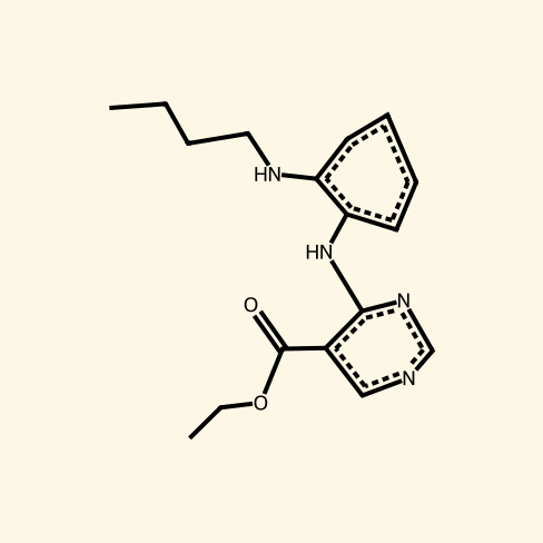 CCCCNc1ccccc1Nc1ncncc1C(=O)OCC